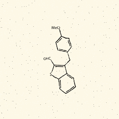 COc1ccc(Cc2c(C=O)sc3ccccc23)cc1